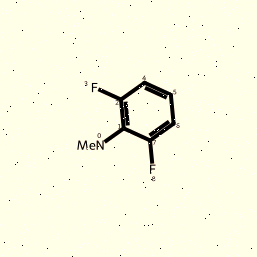 CNc1c(F)cccc1F